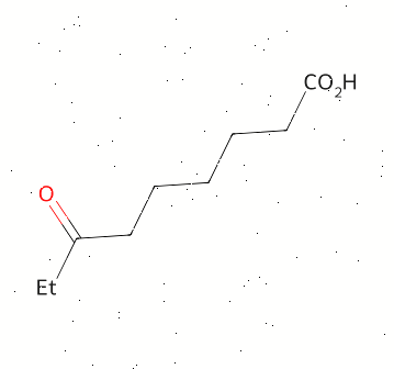 CCC(=O)CCCCCC(=O)O